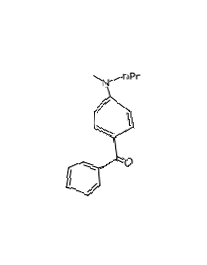 CCCN(C)c1ccc(C(=O)c2ccccc2)cc1